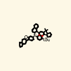 CC(C)(C)c1ccc(N(c2ccc3c(c2)oc2cc4ccccc4cc23)c2ccc3ccccc3c2-c2ccc3c(c2)C(C)(C)c2ccccc2-3)cc1